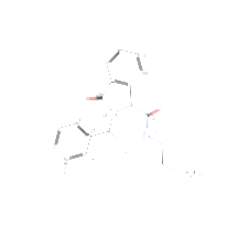 COCCNC(=O)C1c2cc(Cl)ccc2C(=O)N1C(c1cccc(F)c1)C(F)(F)F